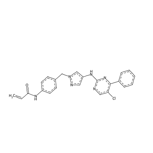 C=CC(=O)Nc1ccc(Cn2cc(Nc3ncc(Cl)c(-c4ccccc4)n3)cn2)cc1